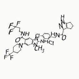 Cn1c(Nc2c(Cl)ccc(CNC(=O)c3n[nH]c4c3CCC4)c2Cl)nc2cc(C(=O)NCCC(F)(F)F)c(N3CCC(C(F)(F)F)CC3)cc21